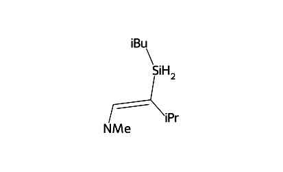 CCC(C)[SiH2]C(=CNC)C(C)C